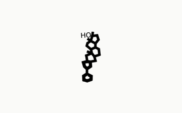 CC12Cc3ccc(-c4ccccc4)cc3CC1CCC1C2CCC2(C)C1CCC2(C)O